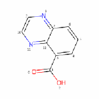 O=C(O)c1cccc2n[c]cnc12